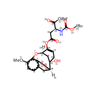 COc1ccc2c3c1O[C@@H]1C[C@@](O)(CC=C1OC(=O)C[C@H](NC(=O)OC(C)(C)C)C(=O)OCC(C)C)[C@H](CCCC3)C2